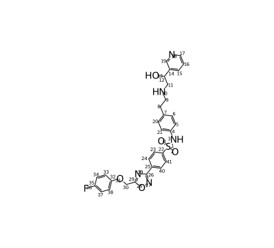 O=S(=O)(Nc1ccc(CCNCC(O)c2cccnc2)cc1)c1ccc(-c2noc(COc3ccc(F)cc3)n2)cc1